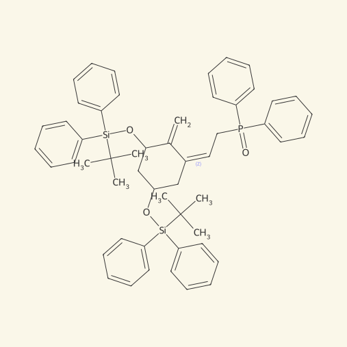 C=C1/C(=C\CP(=O)(c2ccccc2)c2ccccc2)CC(O[Si](c2ccccc2)(c2ccccc2)C(C)(C)C)CC1O[Si](c1ccccc1)(c1ccccc1)C(C)(C)C